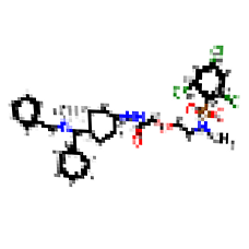 CN(Cc1ccccc1)C(c1ccccc1)C1CCC(NC(=O)COCCN(C)S(=O)(=O)c2c(Cl)cc(Cl)cc2Cl)CC1